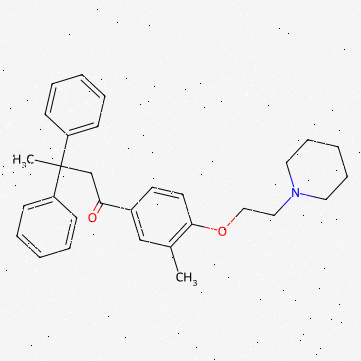 Cc1cc(C(=O)CC(C)(c2ccccc2)c2ccccc2)ccc1OCCN1CCCCC1